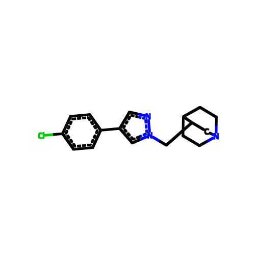 Clc1ccc(-c2cnn(CC3CN4CCC3CC4)c2)cc1